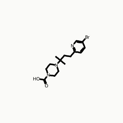 CC(C)(CCc1ccc(Br)cn1)N1CCN(C(=O)O)CC1